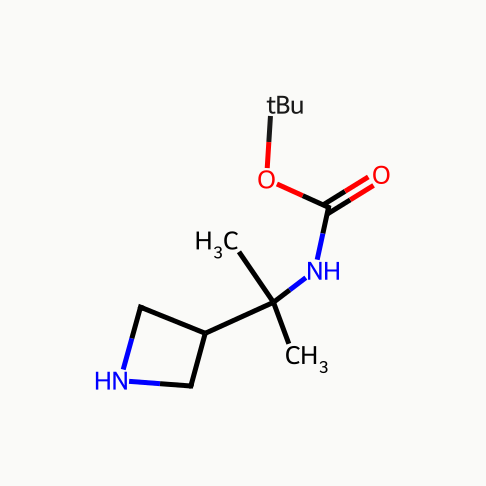 CC(C)(C)OC(=O)NC(C)(C)C1CNC1